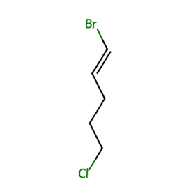 ClCCCC=CBr